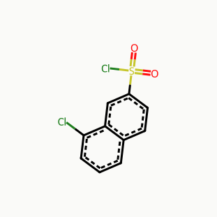 O=S(=O)(Cl)c1ccc2cccc(Cl)c2c1